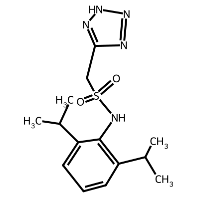 CC(C)c1cccc(C(C)C)c1NS(=O)(=O)Cc1nn[nH]n1